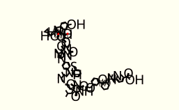 C=CCC1(CC(C)C)C(=O)NC(=O)NC1=O.CC(CN1c2ccccc2Sc2ccccc21)N(C)C.COc1cccc([C@@]2(O)CCCC[C@@H]2CN(C)C)c1.Cn1c(=O)c2c(ncn2C)n(C)c1=O.O=C(O)c1cccnc1.O=C1CC[C@@]2(O)[C@H]3Cc4ccc(O)c5c4[C@@]2(CCN3CC2CC2)[C@H]1O5